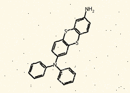 Nc1ccc2c(c1)Sc1ccc(N(c3ccccc3)c3ccccc3)cc1S2